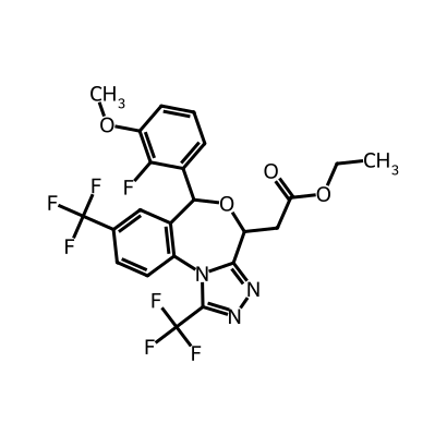 CCOC(=O)CC1OC(c2cccc(OC)c2F)c2cc(C(F)(F)F)ccc2-n2c1nnc2C(F)(F)F